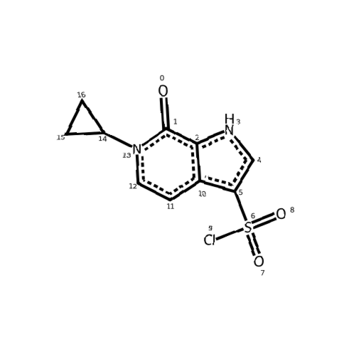 O=c1c2[nH]cc(S(=O)(=O)Cl)c2ccn1C1CC1